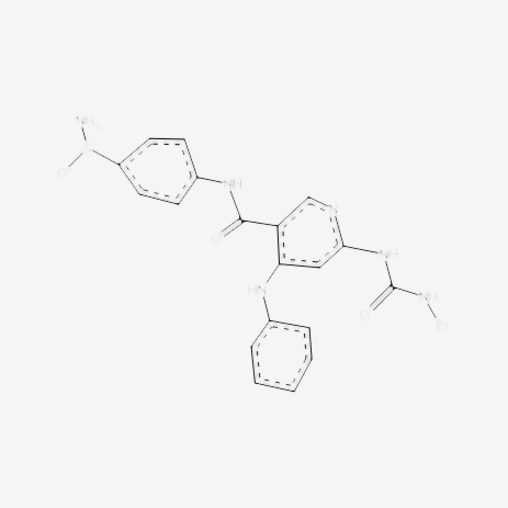 CCNC(=O)Nc1cc(Nc2ccccc2)c(C(=O)Nc2ccc([S+](N)[O-])cc2)cn1